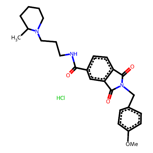 COc1ccc(CN2C(=O)c3ccc(C(=O)NCCCN4CCCCC4C)cc3C2=O)cc1.Cl